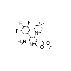 Cc1nc(N)c(-c2cc(F)c(F)c(F)c2)c(N2CCC(C)(C)CC2)c1CC(=O)OC(C)C